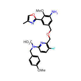 COc1ccc(CN(C(=O)O)c2ccc(F)c(COCc3cc(N)c(OC)c(-c4nc(C)co4)c3)n2)cc1